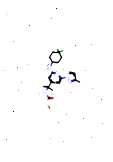 COC(=O)NC(C)(C)c1cc(NC2CCC(F)(F)CC2)nc(-n2ccc(C)n2)c1